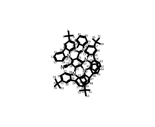 CC(C)(C)c1ccc2c(c1)c1ccccc1n2-c1c(C#N)c(-n2c3ccccc3c3cc(C(C)(C)C)ccc32)c(-n2c3ccccc3c3cc(C(C)(C)C)ccc32)c(-n2c3ccccc3c3cc(C(C)(C)C)ccc32)c1-c1nc2ccccc2s1